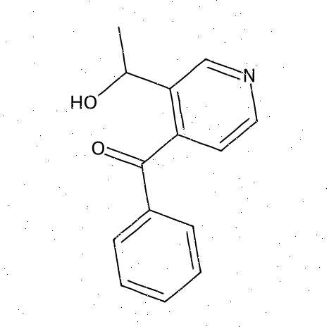 CC(O)c1cnccc1C(=O)c1ccccc1